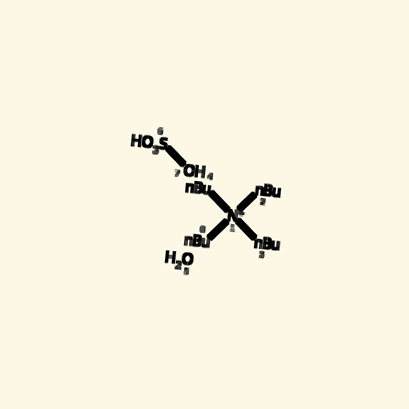 CCCC[N+](CCCC)(CCCC)CCCC.O.O=S(=O)(O)O